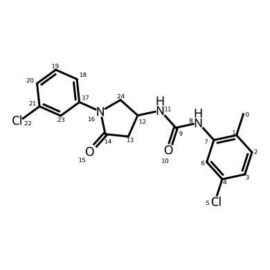 Cc1ccc(Cl)cc1NC(=O)NC1CC(=O)N(c2cccc(Cl)c2)C1